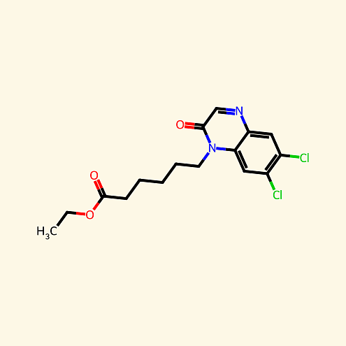 CCOC(=O)CCCCCn1c(=O)cnc2cc(Cl)c(Cl)cc21